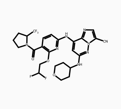 N#Cc1cnc2c(Nc3ccc(C(=O)N4CCCC4C(F)(F)F)c(OCC(F)F)n3)cc(NC3CCOCC3)nn12